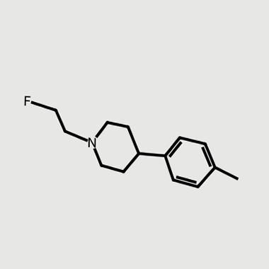 Cc1ccc(C2CCN(CCF)CC2)cc1